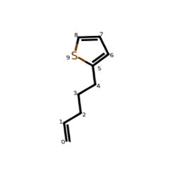 [CH]=CCCCc1cccs1